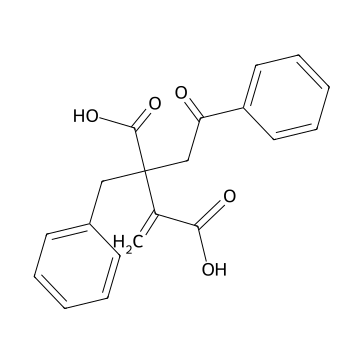 C=C(C(=O)O)C(CC(=O)c1ccccc1)(Cc1ccccc1)C(=O)O